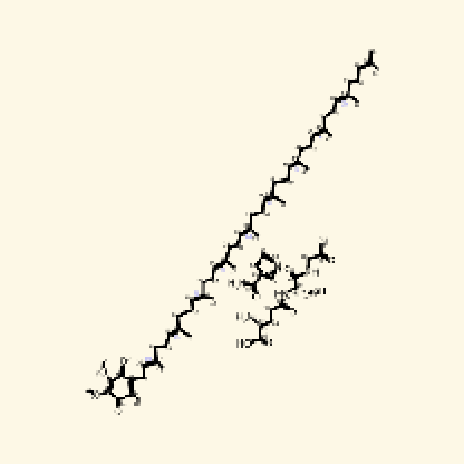 COC1=C(OC)C(=O)C(C/C=C(\C)CC/C=C(\C)CC/C=C(\C)CC/C=C(\C)CC/C=C(\C)CC/C=C(\C)CC/C=C(\C)CC/C=C(\C)CC/C=C(\C)CCC=C(C)C)=C(C)C1=O.NC(=O)c1cccnc1.N[C@@H](CCC(=O)N[C@@H](CS)C(=O)NCC(=O)O)C(=O)O